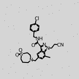 Cc1cc(CN2CCCS(=O)(=O)CC2)cc2c(C(=O)NCc3ccc(Cl)cc3)nn(CCC#N)c12